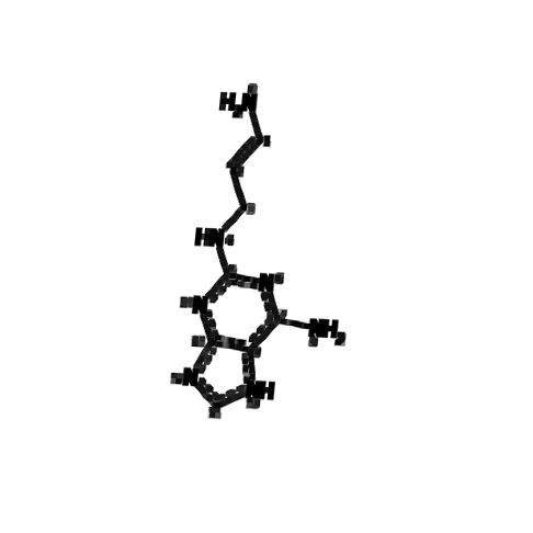 NC=CCNc1nc(N)c2[nH]cnc2n1